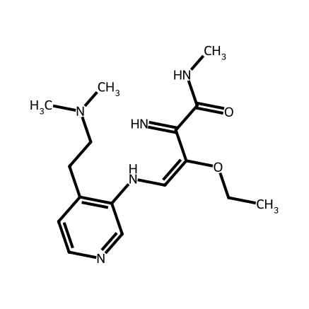 CCO/C(=C/Nc1cnccc1CCN(C)C)C(=N)C(=O)NC